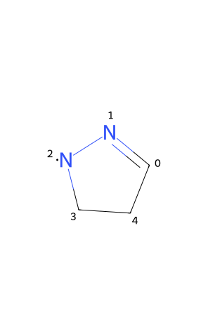 C1=N[N]CC1